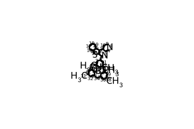 CC1=CC(c2nc3cnccc3c3c2sc2ccccc23)=CC(C)C1B1c2c(C)cc(C)cc2Cc2cc(C)cc(C)c21